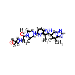 Cc1c(-c2[nH]c3ccc(N4C[C@@H](C)N(C(=O)CN5CC6(COC6)C5)[C@H](C)C4)nc3c2C(C)C)cn2ncnc2c1C